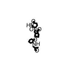 O=C1CCC(N2Cc3cc(OC4CCCCC4NCC4COC4)ccc3C2=O)C(=O)N1